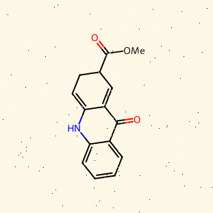 COC(=O)C1C=c2c([nH]c3ccccc3c2=O)=CC1